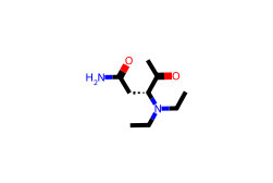 CCN(CC)[C@H](CC(N)=O)C(C)=O